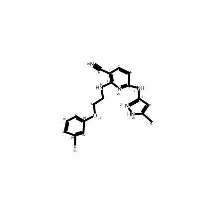 Cc1cc(Nc2ccc(C#N)c(NCCOc3cccc(F)c3)n2)n[nH]1